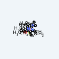 C=C1C=C(c2ccccc2)N(c2ccccc2)c2cc3c(cc21)B1c2c(c4sc5ccccc5c4c4c5cc(C(C)(C)C)ccc5n-3c24)-c2cc3oc4cc5c(cc4c3cc2N1c1ccc(C(C)(C)C)cc1)C(C)(C)CCC5(C)C